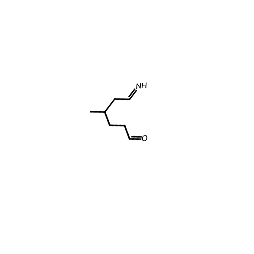 CC(CC=N)CCC=O